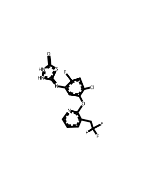 O=c1[nH][nH]c(=Nc2cc(Oc3ncccc3CC(F)(F)F)c(Cl)cc2F)s1